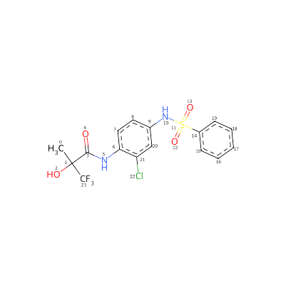 CC(O)(C(=O)Nc1ccc(NS(=O)(=O)c2ccccc2)cc1Cl)C(F)(F)F